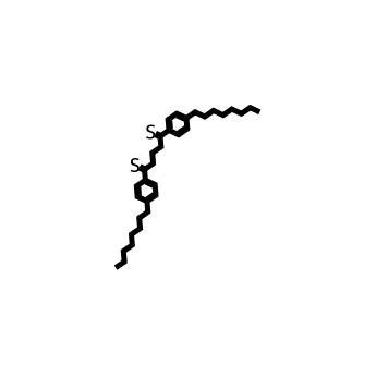 CCCCCCCCc1ccc(C(=S)CCCC(=S)c2ccc(CCCCCCCC)cc2)cc1